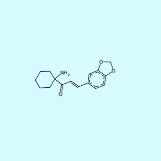 NC1(C(=O)C=Cc2ccc3c(c2)OCO3)CCCCC1